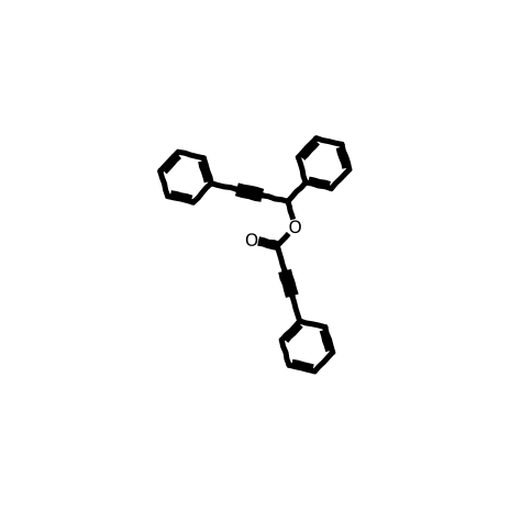 O=C(C#Cc1ccccc1)OC(C#Cc1ccccc1)c1ccccc1